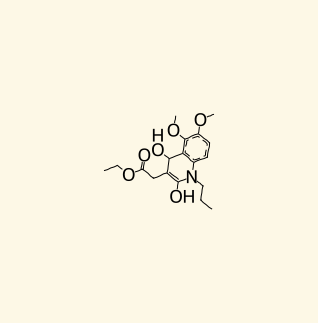 CCCN1C(O)=C(CC(=O)OCC)C(O)c2c1ccc(OC)c2OC